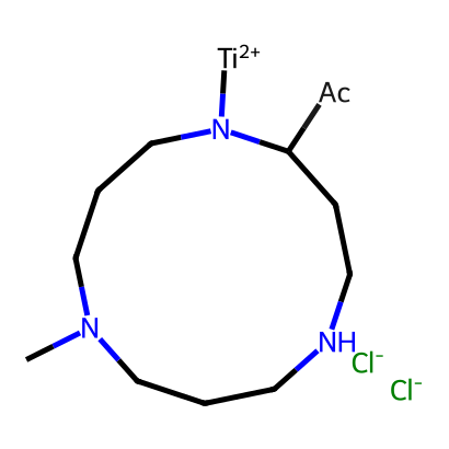 CC(=O)C1CCNCCCN(C)CCC[N]1[Ti+2].[Cl-].[Cl-]